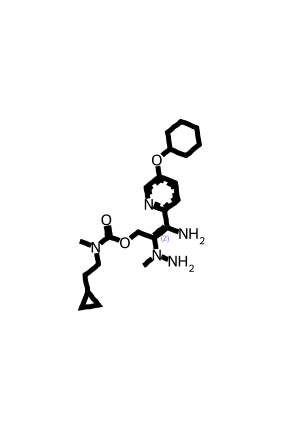 CN(CCC1CC1)C(=O)OC/C(=C(/N)c1ccc(OC2CCCCC2)cn1)N(C)N